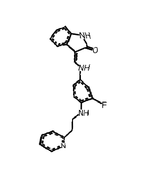 O=C1Nc2ccccc2C1=CNc1ccc(NCCc2ccccn2)c(F)c1